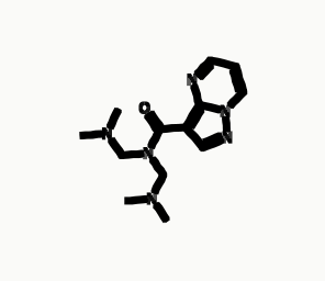 CN(C)CN(CN(C)C)C(=O)c1cnn2cccnc12